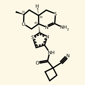 C[C@H]1C[C@H]2CSC(N)=N[C@@]2(c2nc(NC(=O)C3(C#N)CCC3)cs2)CO1